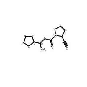 N#CC1CCCN1C(=O)CC(N)C1CCCC1